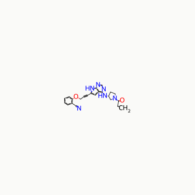 C=CC(=O)N1CC[C@@H](Nc2ncnc3[nH]c(C#CCOc4ccccc4C#N)cc23)C1